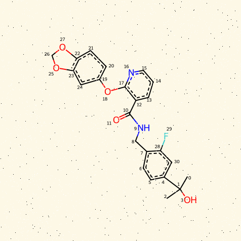 CC(C)(O)c1ccc(CNC(=O)c2cccnc2Oc2ccc3c(c2)OCO3)c(F)c1